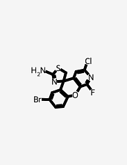 NC1=NC2(CS1)c1cc(Br)ccc1Oc1c2cc(Cl)nc1F